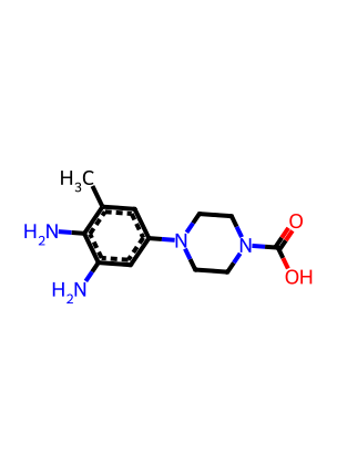 Cc1cc(N2CCN(C(=O)O)CC2)cc(N)c1N